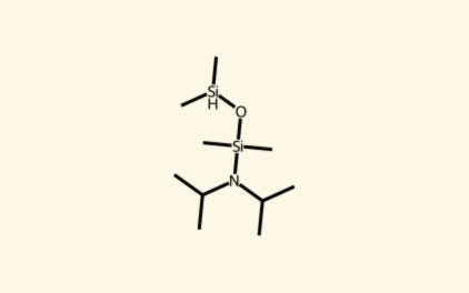 CC(C)N(C(C)C)[Si](C)(C)O[SiH](C)C